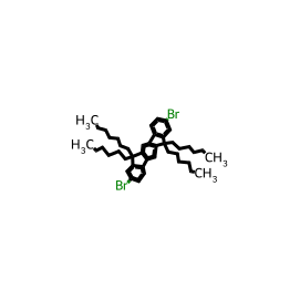 CCCCCCCC1(CCCCCC)c2cc(Br)ccc2-c2cc3c(cc21)-c1ccc(Br)cc1C3(CCCCCC)CCCCCC